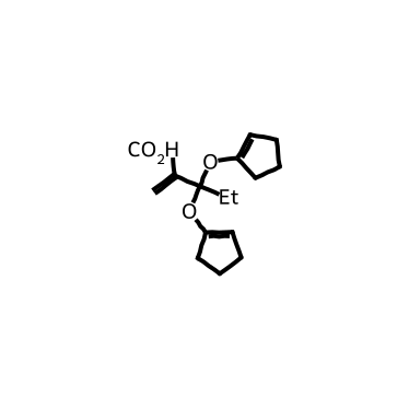 C=C(C(=O)O)C(CC)(OC1=CCCC1)OC1=CCCC1